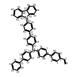 C=Cc1ccc(-c2ccc(N(c3ccc(-c4ccccc4)cc3)c3ccc(-c4ccc(-n5c6ccccc6c6ccccc65)cc4)cc3)cc2)cc1